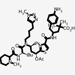 CC[C@H](C)[C@H](NC(=O)C1CCCCN1C)C(=O)N(CCCCc1cn(C)nn1)[C@H](C[C@@H](OC(C)=O)c1nc(C(=O)NC(Cc2ccc(N)cc2)CC(C)(C)C(=O)O)cs1)C(C)C